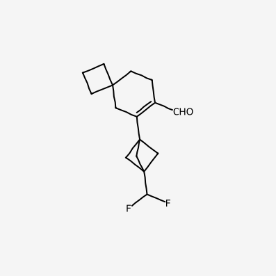 O=CC1=C(C23CC(C(F)F)(C2)C3)CC2(CCC2)CC1